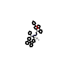 C=C/C(=C\C=C/CN(c1ccc(-c2ccccc2)cc1)c1ccccc1-c1ccccc1)N(c1ccccc1)c1cccc(C2(c3ccccc3)c3ccccc3-c3ccccc32)c1